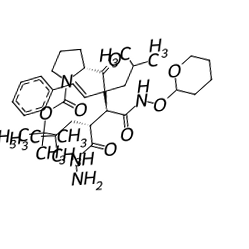 CC(C)C[C@@H](C(=O)NN)[C@H](C(=O)NOC1CCCCO1)C(/C=C/c1ccccc1)(CC(C)C)C(=O)[C@H]1CCCN1C(=O)OC(C)(C)C